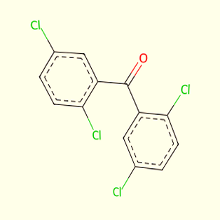 O=C(c1cc(Cl)ccc1Cl)c1cc(Cl)ccc1Cl